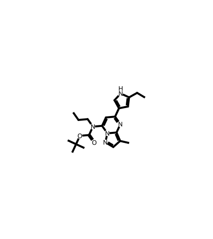 CCCN(C(=O)OC(C)(C)C)c1cc(-c2c[nH]c(CC)c2)nc2c(C)cnn12